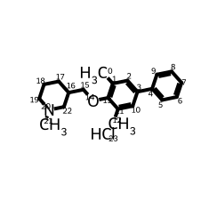 Cc1cc(-c2ccccc2)cc(C)c1OCC1CCCN(C)C1.Cl